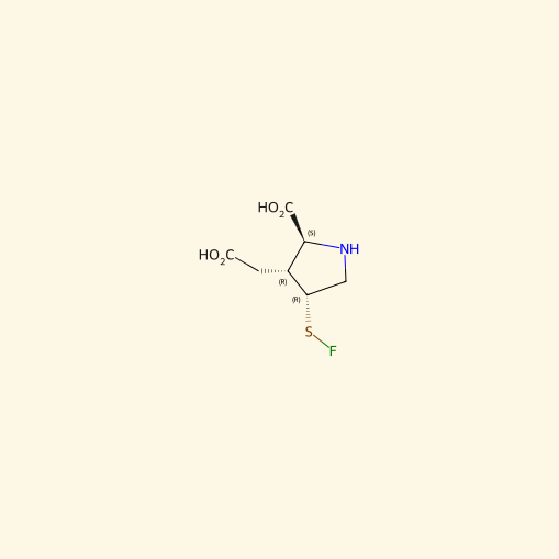 O=C(O)C[C@H]1[C@@H](SF)CN[C@@H]1C(=O)O